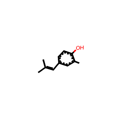 CC(C)=Cc1ccc(O)c(C)c1